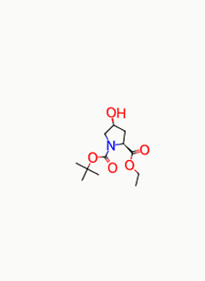 CCOC(=O)[C@@H]1C[C@H](O)CN1C(=O)OC(C)(C)C